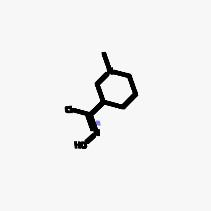 CN1CCCC(/C(Cl)=N/O)C1